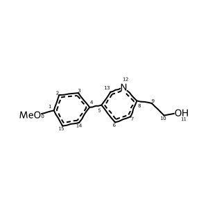 COc1ccc(-c2ccc(CCO)nc2)cc1